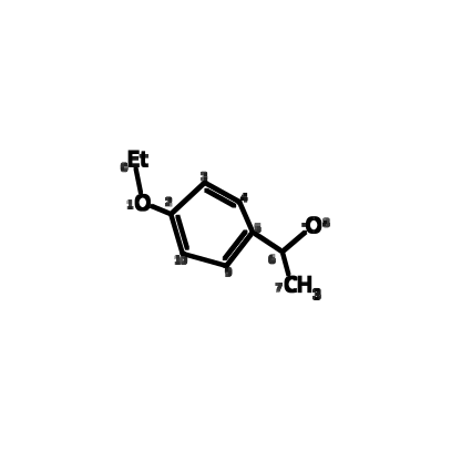 CCOc1ccc(C(C)[O])cc1